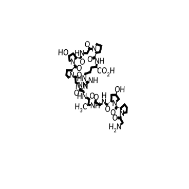 C[C@H](NC(=O)CNC(=O)[C@@H]1C[C@@H](O)CN1C(=O)[C@@H]1CCCN1C(=O)CN)C(=O)NCC(=O)NCC(=O)N1CCC[C@H]1C(=O)N1C[C@H](O)C[C@H]1C(=O)NCC(=O)N1CCC[C@H]1C(=O)N[C@@H](CCCNC(=N)N)C(=O)O